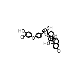 C[C@]12C=CC(=O)C=C1CC[C@H]1[C@@H]3CC[C@](OC(=O)c4ccc(Oc5ccc(O)c(Cl)c5)cc4)(C(=O)S)[C@@]3(C)C[C@H](O)[C@@]12F